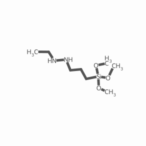 CCNNCCC[Si](OC)(OC)OC